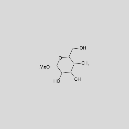 CO[C@@H]1OC(CO)C(C)C(O)C1O